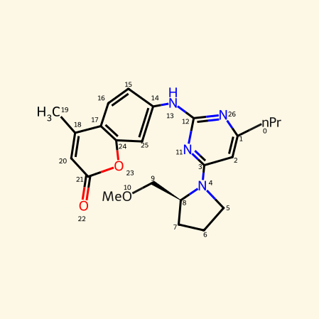 CCCc1cc(N2CCC[C@H]2COC)nc(Nc2ccc3c(C)cc(=O)oc3c2)n1